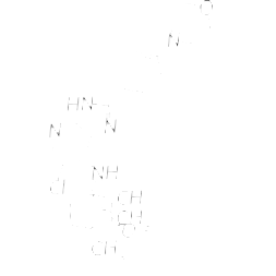 CC12CCC(Nc3c(Cl)cnc4[nH]c(-c5ccc(N6CCOCC6)cc5)nc34)(CC1=O)C2(C)C